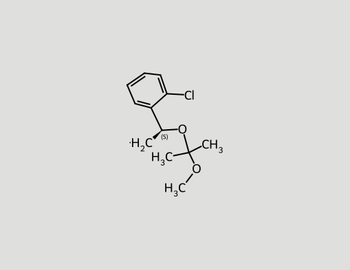 [CH2][C@H](OC(C)(C)OC)c1ccccc1Cl